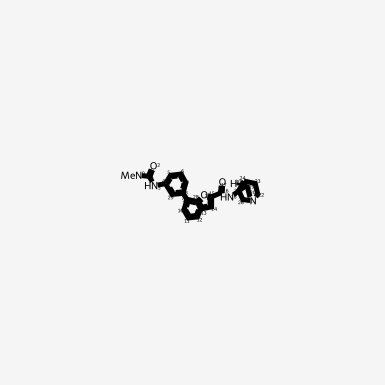 CNC(=O)Nc1cccc(-c2cccc3cc(C(=O)N[C@H]4CN5CCC4CC5)oc23)c1